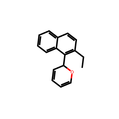 CCc1ccc2ccccc2c1C1C=CC=CO1